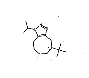 CC(C)n1nnc2c1CCCCC(C(C)(C)C)C2